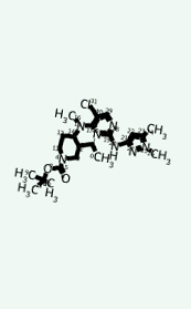 CCC1CN(C(=O)OC(C)(C)C)CCC1N(C)c1nc(Nc2cc(C)n(C)n2)ncc1Cl